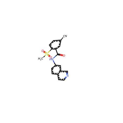 CS(=O)(=O)c1ccc(C#N)cc1C(=O)Nc1ccc2ccncc2c1